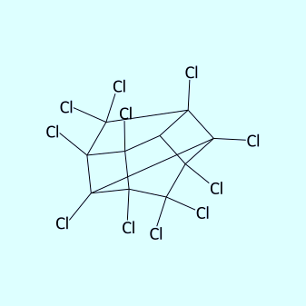 ClC1(Cl)C2(Cl)C3C4(Cl)C1(Cl)C1(Cl)C4(Cl)C(Cl)(Cl)C3(Cl)C21Cl